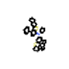 c1ccc(-c2ccc(N(c3ccccc3)c3ccc4c(c3)Sc3ccccc3C43c4ccccc4-c4ccccc43)c3sc4cc5ccccc5cc4c23)cc1